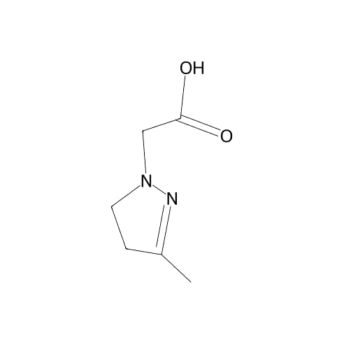 CC1=NN(CC(=O)O)CC1